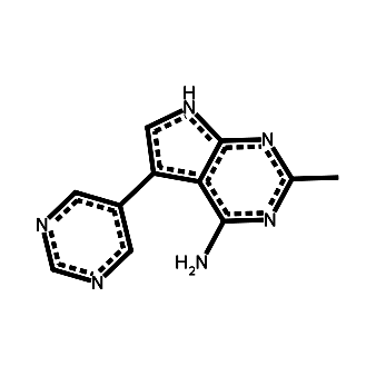 Cc1nc(N)c2c(-c3cncnc3)c[nH]c2n1